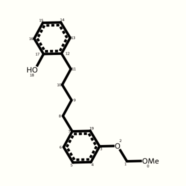 COCOc1cccc(CCCCc2ccccc2O)c1